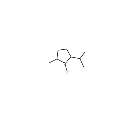 CC(C)C1CCC(C)[S+]1[O-]